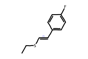 CCS/C=C/c1ccc(F)cc1